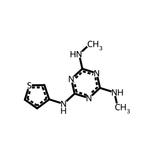 CNc1nc(NC)nc(Nc2ccsc2)n1